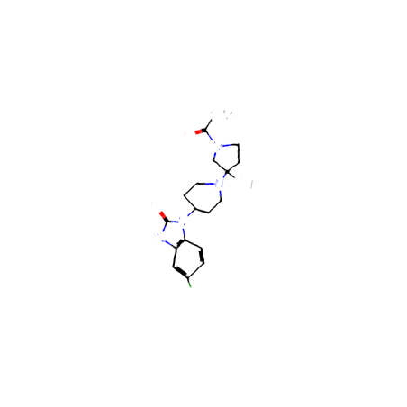 COC(=O)N1CCC(C)(N2CCC(n3c(=O)[nH]c4cc(F)ccc43)CC2)C1